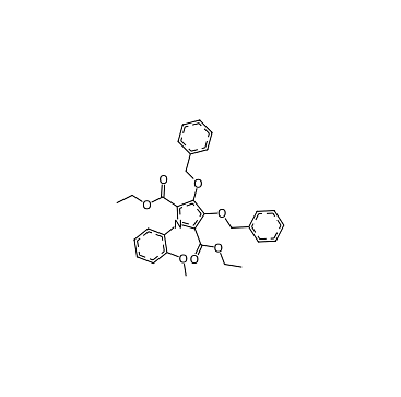 CCOC(=O)c1c(OCc2ccccc2)c(OCc2ccccc2)c(C(=O)OCC)n1-c1ccccc1OC